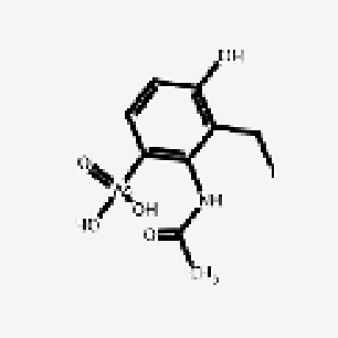 CC(=O)Nc1c([As](=O)(O)O)ccc(O)c1[CH]I